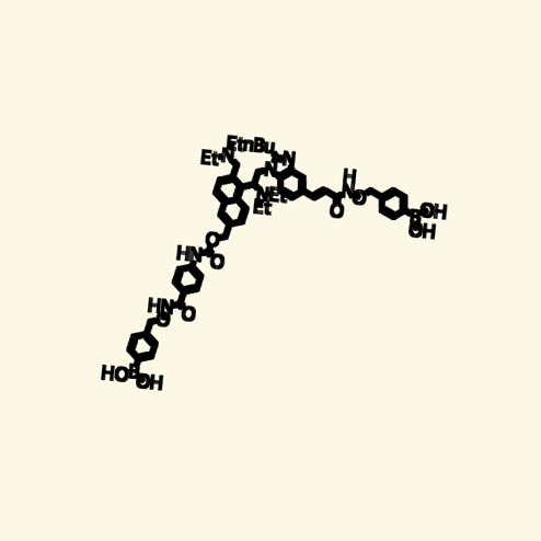 CCCCc1nc2cc(/C=C/C(=O)NOCc3ccc(B(O)O)cc3)ccc2n1CC(c1c(CN(CC)CC)ccc2cc(COC(=O)Nc3ccc(C(=O)NOCc4ccc(B(O)O)cc4)cc3)ccc12)N(CC)CC